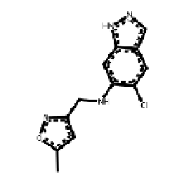 Cc1cc(CNc2cc3[nH]ncc3cc2Cl)no1